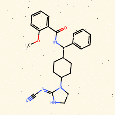 COc1ccccc1C(=O)NC(c1ccccc1)C1CCC(N2CCNC2=NC#N)CC1